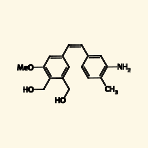 COc1cc(/C=C\c2ccc(C)c(N)c2)cc(CO)c1CO